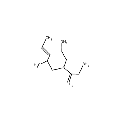 BCC(=C)N(CCN)CC(C)C=CC